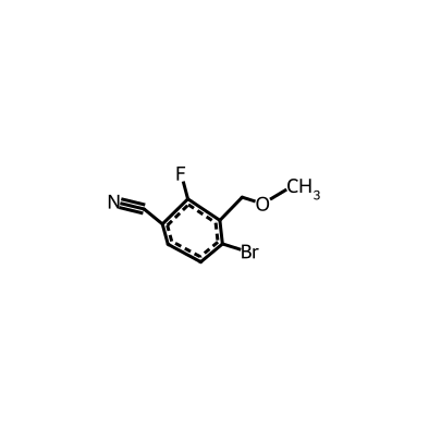 COCc1c(Br)ccc(C#N)c1F